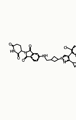 O=C1CCC(N2C(=O)c3ccc(NCC4CC(n5cc(-c6ncccc6Cl)c(C6CC6)n5)C4)cc3C2=O)C(=O)N1